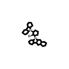 Brc1c(-n2c3ccccc3c3ccccc32)cccc1-n1c2ccccc2c2cc3ccccc3cc21